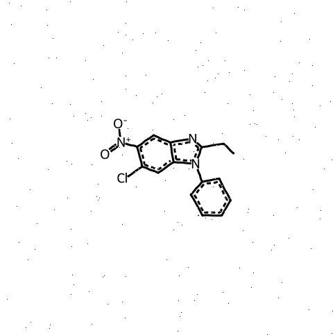 CCc1nc2cc([N+](=O)[O-])c(Cl)cc2n1-c1c[c]ccc1